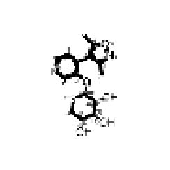 Cc1noc(C)c1-c1ccncc1O[C@@H]1SC[C@@H](O)[C@H](O)[C@H]1O